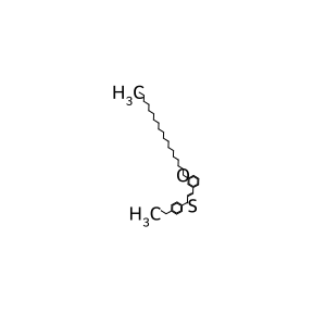 CCCCCCCCCCCCCCCCCCOc1cccc(C=CC(=S)c2ccc(CCC)cc2)c1